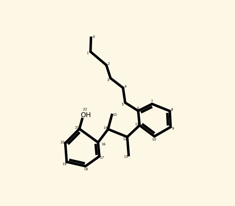 CCCCCCc1ccccc1C(C)C(C)c1ccccc1O